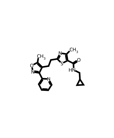 Cc1nc(CCc2c(-c3ccccn3)noc2C)sc1C(=O)NCC1CC1